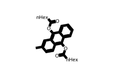 CCCCCCC(=O)Oc1c2ccccc2c(OC(=O)CCCCCC)c2cc(C)ccc12